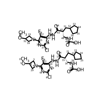 COC1CN(c2nc(Cl)nc(NNC(=O)[C@@H](CNC(=O)O)CC3CCCC3)c2F)C1.COC1CN(c2nc(Cl)nc(NNC(=O)[C@@H](CNC(=O)O)CC3CCCC3)c2F)C1